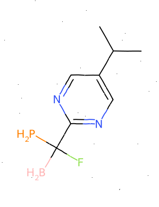 BC(F)(P)c1ncc(C(C)C)cn1